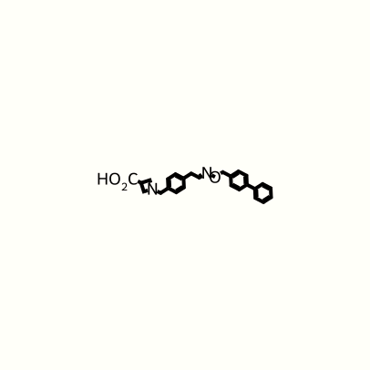 O=C(O)C1CN(Cc2ccc(CC=NOCc3ccc(-c4ccccc4)cc3)cc2)C1